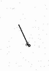 CCCCCCCCCCCCCCCCCCCCCCCCOC(=O)c1ccccc1